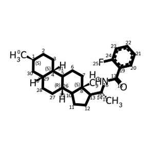 C[C@H]1CC[C@@H]2C3CC[C@@]4(C)C(CCC4[C@@H](C)NC(=O)c4ccccc4F)[C@@H]3CC[C@@H]2C1